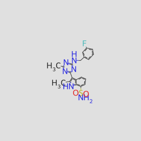 Cc1nc(NCc2cccc(F)c2)nc(-c2c(C)[nH]c3c(S(N)(=O)=O)cccc23)n1